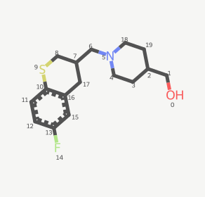 OCC1CCN(CC2CSc3ccc(F)cc3C2)CC1